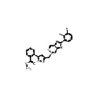 COC(=O)c1ccccc1-c1cc(Cn2cc3nc(-c4cccc(F)c4F)nc-3cn2)on1